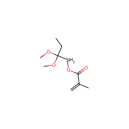 C=C(C)C(=O)O[SiH2]C(CC)(OC)OC